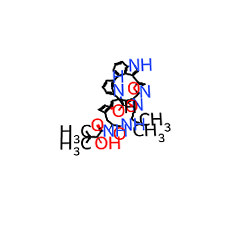 CC(C)C1NC(=O)[C@@H](NC(=O)[C@@H](O)C(C)C)Cc2ccc3c(c2)C24c5cccc(c5N[C@H]2O3)-c2cccc3[nH]cc(c23)-c2cnc(o2)-c2nc1oc24